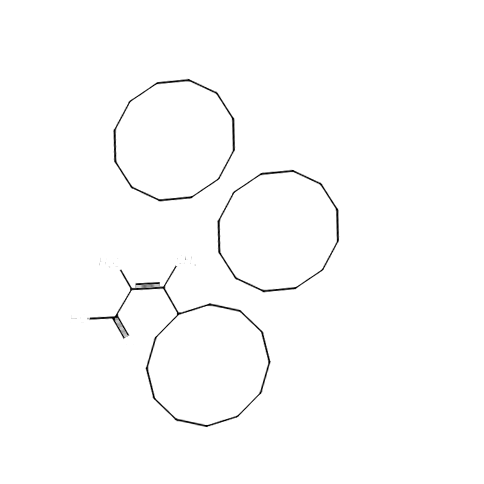 C1CCCCCCCCCCC1.C1CCCCCCCCCCC1.CC(C(=O)O)=C(C)C1CCCCCCCCCCC1